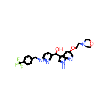 OC(c1ccc(NCc2ccc(C(F)(F)F)cc2)nc1)c1c[nH]c2ncc(OCCN3CCOCC3)cc12